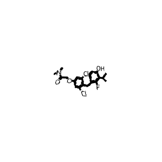 CC(C)c1c(O)ccc(Cc2c(Cl)cc(OCC(=O)N(C)C)cc2Cl)c1F